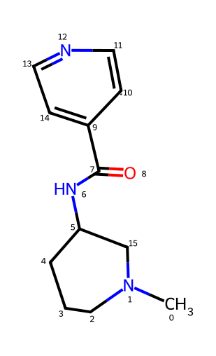 CN1CCCC(NC(=O)c2[c]cncc2)C1